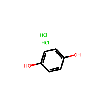 Cl.Cl.Oc1ccc(O)cc1